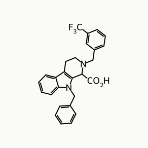 O=C(O)C1c2c(c3ccccc3n2Cc2ccccc2)CCN1Cc1cccc(C(F)(F)F)c1